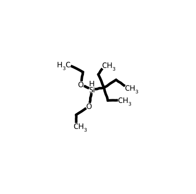 CCO[SiH](OCC)C(CC)(CC)CC